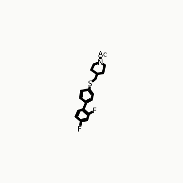 CC(=O)N1CCC(CSc2ccc(-c3ccc(F)cc3F)cc2)CC1